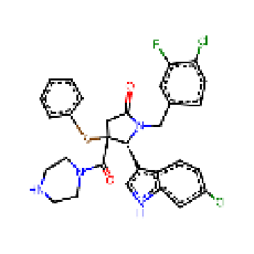 O=C1C[C@@](Sc2ccccc2)(C(=O)N2CCNCC2)[C@H](c2c[nH]c3cc(Cl)ccc23)N1Cc1ccc(Cl)c(F)c1